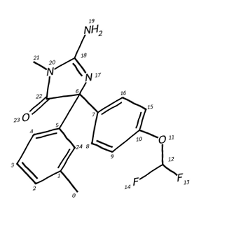 Cc1cccc(C2(c3ccc(OC(F)F)cc3)N=C(N)N(C)C2=O)c1